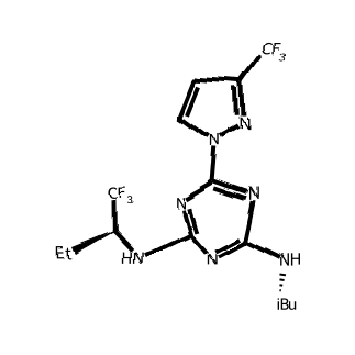 CC[C@@H](C)Nc1nc(N[C@@H](CC)C(F)(F)F)nc(-n2ccc(C(F)(F)F)n2)n1